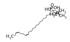 CC/C=C\CC/C=C\CCCCCCCCCCCCCC(O)(C[N+](C)(C)C)P(=O)(O)O